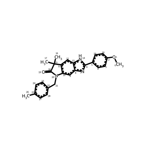 COc1ccc(-c2nc3cc4c(cc3[nH]2)C(C)(C)C(=O)N4Cc2ccc(C)cc2)cc1